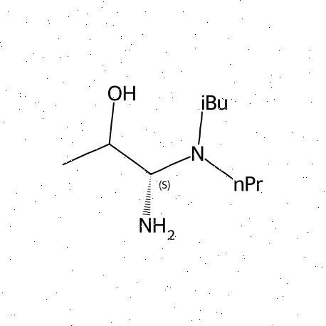 CCCN(C(C)CC)[C@H](N)C(C)O